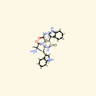 CC(C)(N)C(=O)N([C@H](Cc1c[nH]c2ccccc12)NC=O)[C@H](Cc1c[nH]c2ccccc12)C(N)=O